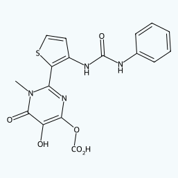 Cn1c(-c2sccc2NC(=O)Nc2ccccc2)nc(OC(=O)O)c(O)c1=O